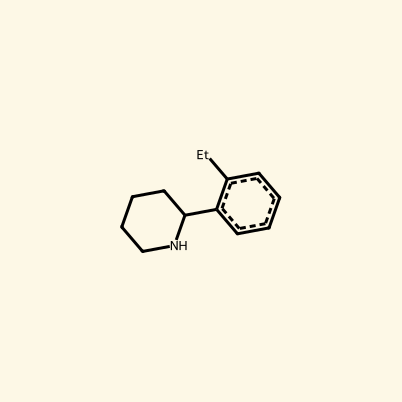 CCc1ccccc1C1CCCCN1